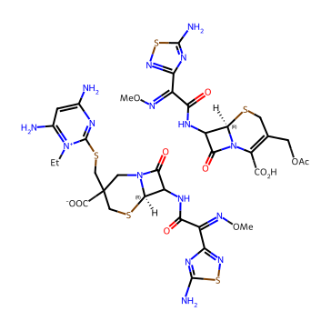 CC[n+]1c(N)cc(N)nc1SCC1(C(=O)[O-])CS[C@@H]2C(NC(=O)C(=NOC)c3nsc(N)n3)C(=O)N2C1.CON=C(C(=O)NC1C(=O)N2C(C(=O)O)=C(COC(C)=O)CS[C@H]12)c1nsc(N)n1